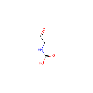 O=CCNC(=O)O